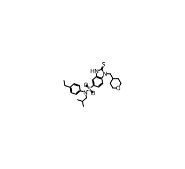 CCc1ccc(N(CC(C)C)S(=O)(=O)c2ccc3c(c2)[nH]c(=S)n3CC2CCOCC2)cc1